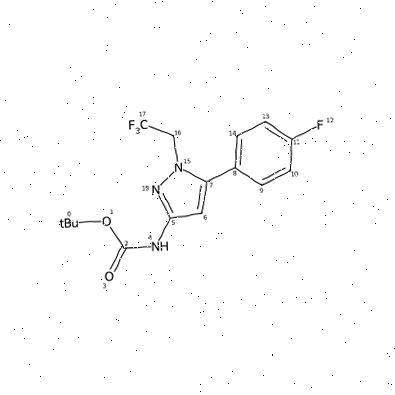 CC(C)(C)OC(=O)Nc1cc(-c2ccc(F)cc2)n(CC(F)(F)F)n1